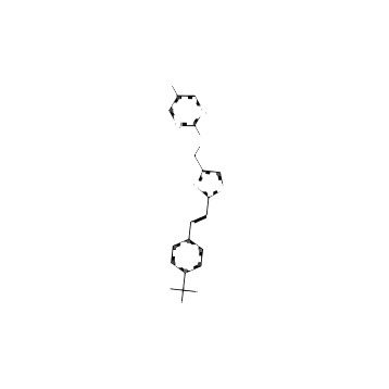 FC(F)(F)c1ccc(/C=C/c2nc(COc3ncc(Br)cn3)co2)cc1